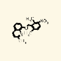 Cc1ccc2cccc(OCc3c(C)ccc([N+](=O)[O-])c3C)c2n1